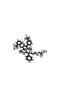 Cc1c(Cc2c(F)cccc2C(F)(F)F)c2n(c(=O)c1-c1cccc(C(C)(F)F)c1)C(C(NCCOCC(=O)O)c1ccccc1)C[S+]2[O-]